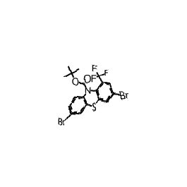 CC(C)(C)OC(=O)N1c2ccc(Br)cc2Sc2cc(Br)cc(C(F)(F)F)c21